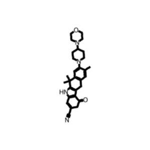 Cc1cc2c(cc1N1CCC(N3CCOCC3)CC1)C(C)(C)c1[nH]c3c(c1C2)C(=O)CC(C#N)=C3